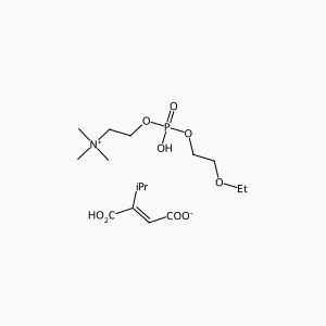 CC(C)/C(=C\C(=O)[O-])C(=O)O.CCOCCOP(=O)(O)OCC[N+](C)(C)C